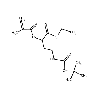 C=C(C)C(=O)OC(CCNC(=O)OC(C)(C)C)C(=O)OCC